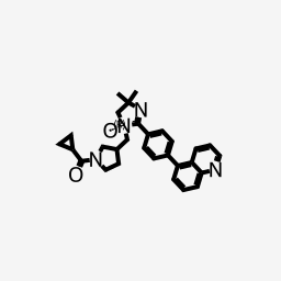 CC1(C)C[N@+]([O-])(CC2CCN(C(=O)C3CC3)C2)C(c2ccc(-c3cccc4ncccc34)cc2)=N1